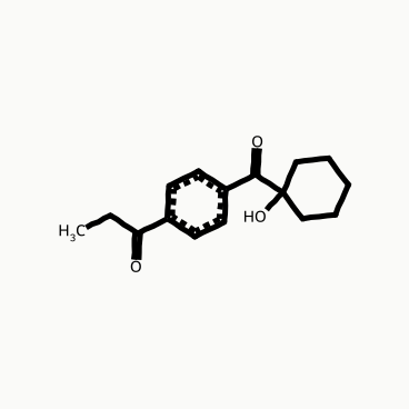 CCC(=O)c1ccc(C(=O)C2(O)CCCCC2)cc1